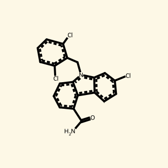 NC(=O)c1cccc2c1c1[c]cc(Cl)cc1n2Cc1c(Cl)cccc1Cl